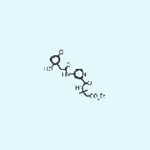 CCOC(=O)CC(C)(C)NC(=O)c1cc(NC(=O)Cc2cc(Cl)ccc2O)ccn1